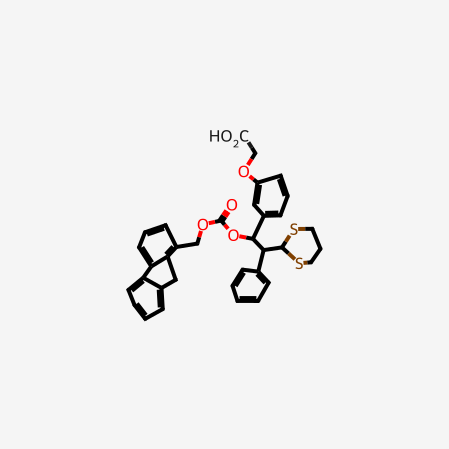 O=C(O)COc1cccc(C(OC(=O)OCc2cccc3c2Cc2ccccc2-3)C(c2ccccc2)C2SCCCS2)c1